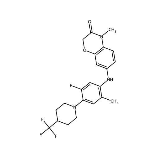 Cc1cc(N2CCC(C(F)(F)F)CC2)c(F)cc1Nc1ccc2c(c1)OCC(=O)N2C